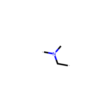 [CH2]CN([CH2])C